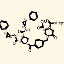 CCCCCCCC(=O)N1CC(=O)N(Cc2ccc(C(=O)N3C[C@@H](C(=O)N[C@H]4C[C@@H]4c4ccccc4)[C@H](C(=O)N[C@H]4C[C@@H]4c4ccccc4)C3)cc2)C[C@@H]1C(=O)OC